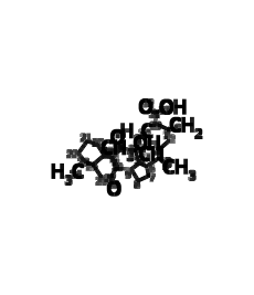 C=C(CC[C@@H](C)[C@H]1CCC2C3=C(C(=O)[C@H](O)[C@@]21C)[C@@]1(C)CCC[C@@H](C)C1CC3=O)[C@@H](C)C(=O)O